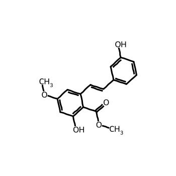 COC(=O)c1c(O)cc(OC)cc1/C=C/c1cccc(O)c1